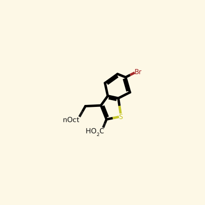 CCCCCCCCCc1c(C(=O)O)sc2cc(Br)ccc12